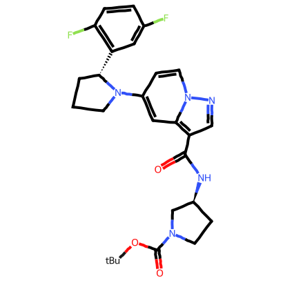 CC(C)(C)OC(=O)N1CC[C@H](NC(=O)c2cnn3ccc(N4CCC[C@@H]4c4cc(F)ccc4F)cc23)C1